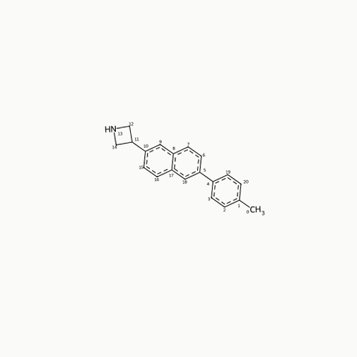 Cc1ccc(-c2ccc3cc(C4CNC4)ccc3c2)cc1